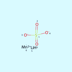 O=S(=O)([O-])[O-].[LiH].[Mn+2]